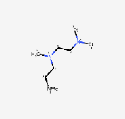 CCN(CC)CCN(C)CCNC